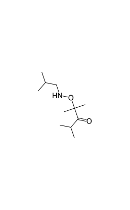 CC(C)CNOC(C)(C)C(=O)C(C)C